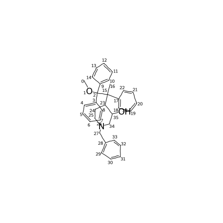 COC(c1ccccc1)(c1ccccc1)C(C)(c1ccccc1)C1CCN(Cc2ccccc2)CC1O